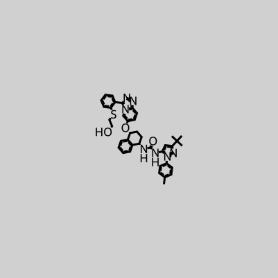 Cc1ccc(-n2nc(C(C)(C)C)cc2NC(=O)N[C@H]2CC[C@H](Oc3ccc4nnc(-c5ccccc5SCCO)n4c3)c3ccccc32)cc1